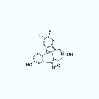 Cc1noc(C)c1-c1c(/C=N/O)c2cc(F)c(F)cc2n1-c1ccc(O)cc1